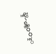 O=C(/C=C/c1ccn(S(=O)(=O)c2ccc(-c3ccc(CNC4CCCC4)cc3)cc2)c1)NO